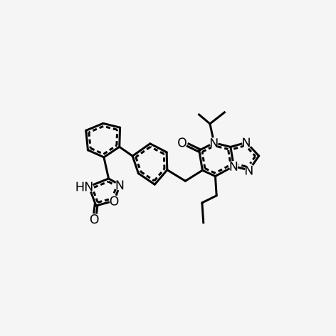 CCCc1c(Cc2ccc(-c3ccccc3-c3noc(=O)[nH]3)cc2)c(=O)n(C(C)C)c2ncnn12